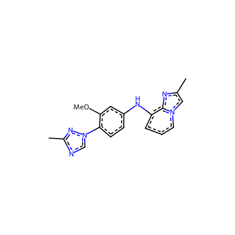 COc1cc(Nc2cccn3cc(C)nc23)ccc1-n1cnc(C)n1